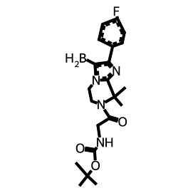 Bc1c(-c2ccc(F)cc2)nc2n1CCN(C(=O)CNC(=O)OC(C)(C)C)C2(C)C